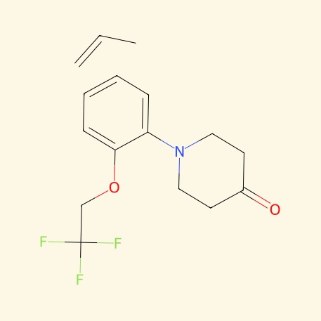 C=CC.O=C1CCN(c2ccccc2OCC(F)(F)F)CC1